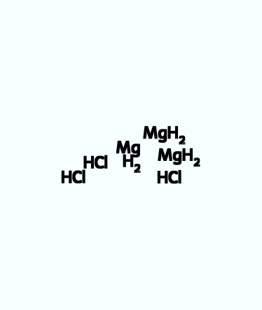 Cl.Cl.Cl.[MgH2].[MgH2].[MgH2]